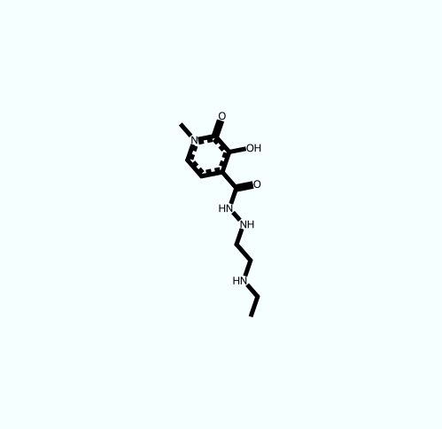 CCNCCNNC(=O)c1ccn(C)c(=O)c1O